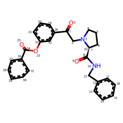 O=C(CN1CCC[C@H]1C(=O)NCc1ccccc1)c1cccc(OC(=O)c2ccccc2)c1